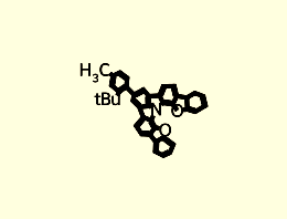 Cc1ccc(-c2cc3c4ccc5c(c4n4c3c(c2)c2ccc3c6ccccc6oc3c24)OC2=CC=CCC25)c(C(C)(C)C)c1